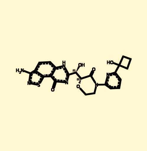 Nc1nsc2c1ccc1[nH]c([C@H](O)[C@H]3OCCN(c4cccc(C5(O)CCC5)n4)C3=O)nc(=O)c12